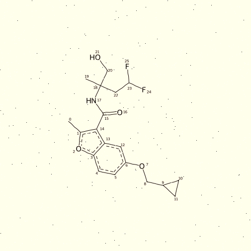 Cc1oc2ccc(OCC3CC3)cc2c1C(=O)NC(C)(CO)CC(F)F